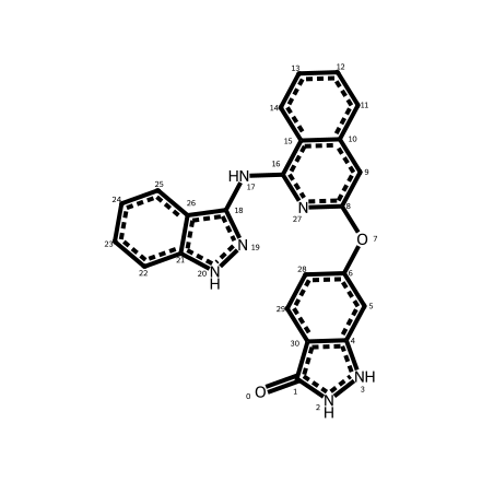 O=c1[nH][nH]c2cc(Oc3cc4ccccc4c(Nc4n[nH]c5ccccc45)n3)ccc12